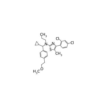 CCCN(c1nc(-c2ccc(Cl)cc2Cl)c(C)s1)C(c1ccc(CCOC)cc1)C1CC1